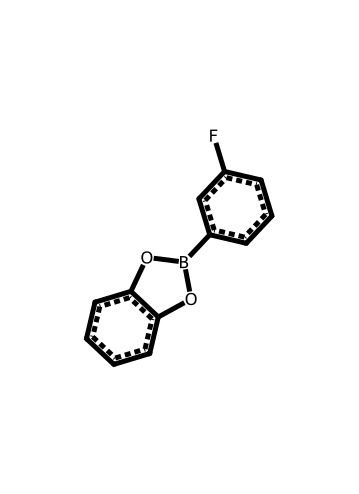 Fc1cccc(B2Oc3ccccc3O2)c1